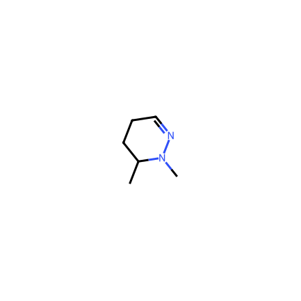 CC1CCC=NN1C